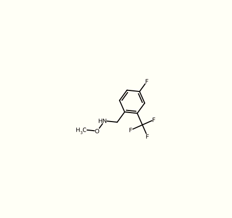 CONCc1ccc(F)cc1C(F)(F)F